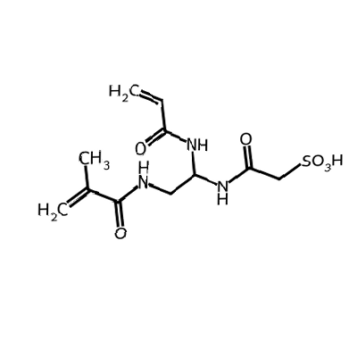 C=CC(=O)NC(CNC(=O)C(=C)C)NC(=O)CS(=O)(=O)O